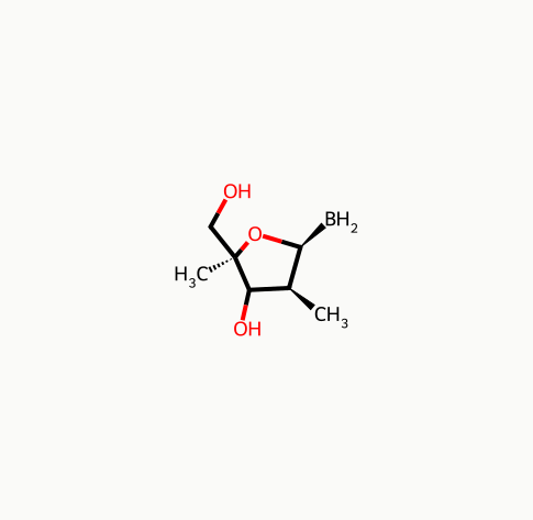 B[C@@H]1O[C@](C)(CO)C(O)[C@@H]1C